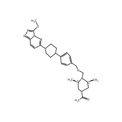 COc1nnc2ccc(N3CCC(c4ccc(COCN5[C@H](C)CN(C(C)=O)C[C@@H]5C)cc4)CC3)nn12